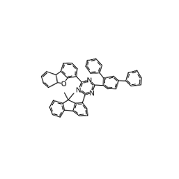 CC1(C)c2ccccc2-c2cccc(-c3nc(-c4ccc(-c5ccccc5)cc4-c4ccccc4)nc(-c4cccc5c4OC4C=CC=CC54)n3)c21